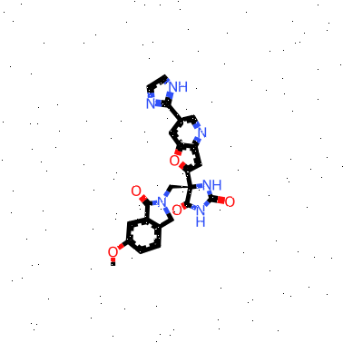 COc1ccc2c(c1)C(=O)N(C[C@@]1(c3cc4ncc(-c5ncc[nH]5)cc4o3)NC(=O)NC1=O)C2